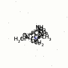 C=C/C=C(\C1=C(C)CN(C(=O)C=C)CC1)C1=C(F)C=C(C(N)=O)C2(C)NC(C)=C(F)C12